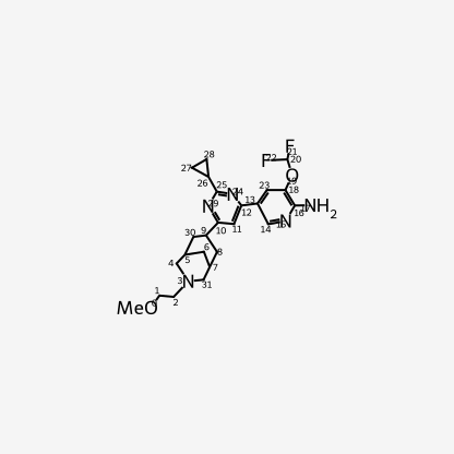 COCCN1CC2CC(CC(c3cc(-c4cnc(N)c(OC(F)F)c4)nc(C4CC4)n3)C2)C1